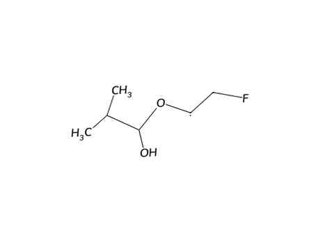 CC(C)C(O)O[CH]CF